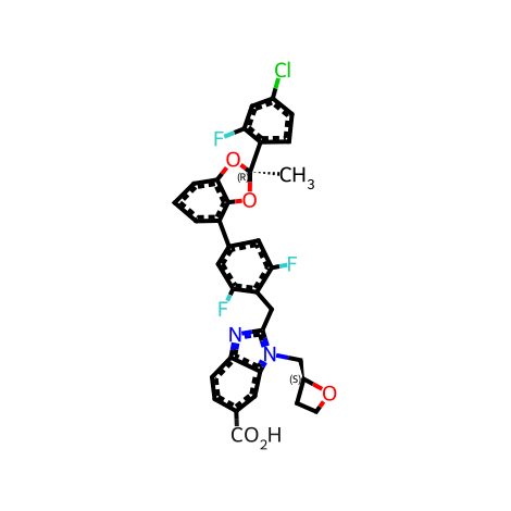 C[C@@]1(c2ccc(Cl)cc2F)Oc2cccc(-c3cc(F)c(Cc4nc5ccc(C(=O)O)cc5n4C[C@@H]4CCO4)c(F)c3)c2O1